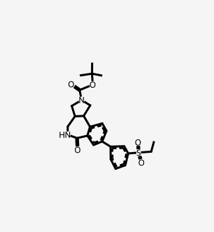 CCS(=O)(=O)c1cccc(-c2ccc3c(c2)C(=O)NCC2CN(C(=O)OC(C)(C)C)CC32)c1